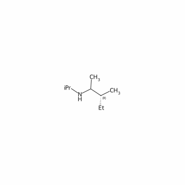 CC[C@@H](C)C(C)NC(C)C